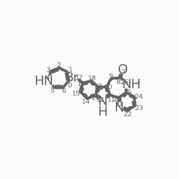 C1=CC=CNC=C1.O=C1Cc2c([nH]c3ccc(Br)cc23)-c2ncccc2N1